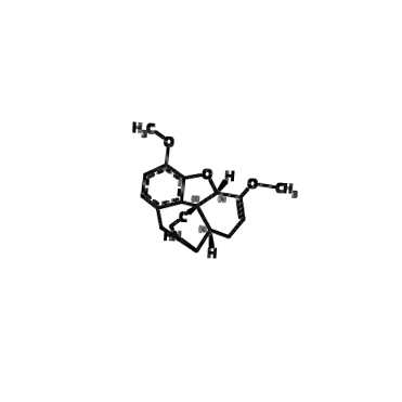 COC1=CC[C@@H]2C3Cc4ccc(OC)c5c4[C@]2(CCN3)[C@@H]1O5